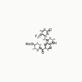 COC1CCN(C(=O)c2cnc3c(n2)N(Cc2cc(Cl)ccc2C(F)(F)F)CCN3)CC1